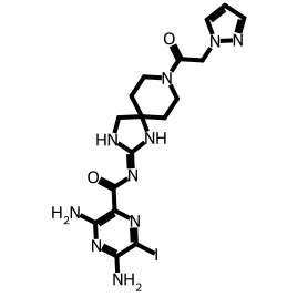 Nc1nc(N)c(C(=O)/N=C2\NCC3(CCN(C(=O)Cn4cccn4)CC3)N2)nc1I